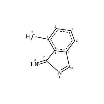 Cc1cccc2c1C(=N)N=C2